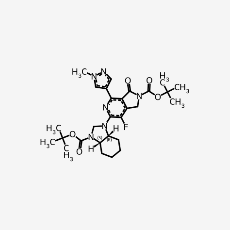 Cn1cc(-c2nc(N3CN(C(=O)OC(C)(C)C)[C@H]4CCCC[C@H]43)c(F)c3c2C(=O)N(C(=O)OC(C)(C)C)C3)cn1